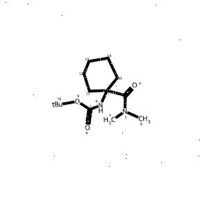 CN(C)C(=O)C1(NC(=O)OC(C)(C)C)CCCCC1